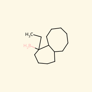 BC1(CC)CCCCC2CCCCCCC21